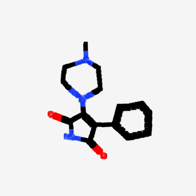 CN1CCN(C2=C(c3ccccc3)C(=O)NC2=O)CC1